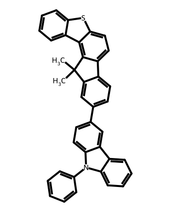 CC1(C)c2cc(-c3ccc4c(c3)c3ccccc3n4-c3ccccc3)ccc2-c2ccc3sc4ccccc4c3c21